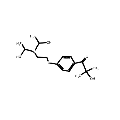 CC(O)N(CCOc1ccc(C(=O)C(C)(C)O)cc1)C(C)O